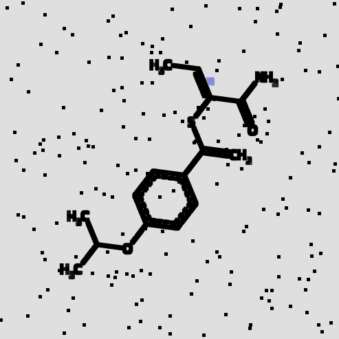 C=C(S/C(=C\C)C(N)=O)c1ccc(OC(C)C)cc1